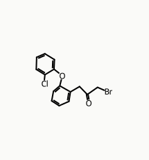 O=C(CBr)Cc1ccccc1Oc1ccccc1Cl